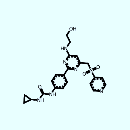 O=C(Nc1ccc(-c2nc(CS(=O)(=O)c3ccncc3)cc(NCCO)n2)cc1)NC1CC1